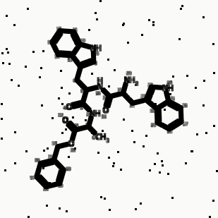 CC(NC(=O)C(Cc1c[nH]c2ccccc12)NC(=O)C(N)Cc1c[nH]c2ccccc12)C(=O)OCc1ccccc1